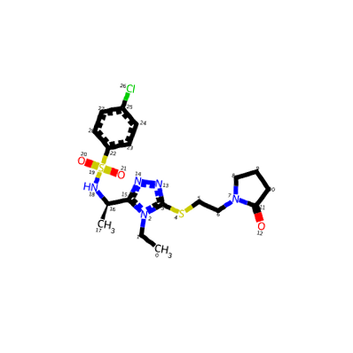 CCn1c(SCCN2CCCC2=O)nnc1[C@@H](C)NS(=O)(=O)c1ccc(Cl)cc1